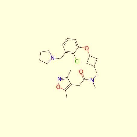 Cc1noc(C)c1CC(=O)N(C)CC1CC(Oc2cccc(CN3CCCC3)c2Cl)C1